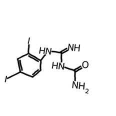 N=C(NC(N)=O)Nc1ccc(I)cc1I